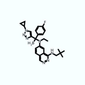 BC(c1ccc(F)cc1)(c1cn(C2CC2)nn1)N(CC)c1ccc2cnnc(NCC(C)(C)C)c2c1